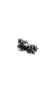 [N-]=[N+]=NC1C[C@@H](N=[N+]=[N-])C(O)[C@@H](O)[C@@H]1O[C@H]1OC(CO)[C@@H](O)[C@H](OCO[C@H]2C(N=[N+]=[N-])[C@H](O[C@H]3C(N=[N+]=[N-])C[C@H](N=[N+]=[N-])C(O)[C@@H]3O)OC(CO)[C@@H]2O)C1N=[N+]=[N-]